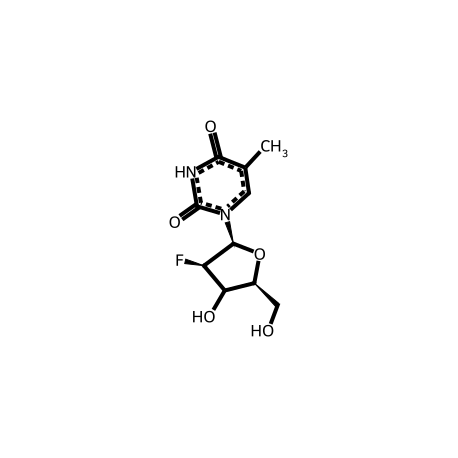 Cc1cn([C@H]2O[C@@H](CO)C(O)[C@H]2F)c(=O)[nH]c1=O